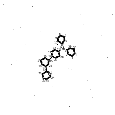 c1ccc(N(c2ccccc2)c2ccc(-c3cccc(-c4ccccn4)c3)cc2)cc1